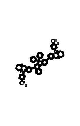 CC12CCCCC1(C)N(c1ccc(C(F)(F)F)cc1)c1ccc(-c3ccc4c(c3)C(c3ccccc3)(c3ccccc3)c3cc(-c5ccc6c(c5)CC5(C)CCCCC5(C)N6c5ccc(C(F)(F)F)cc5)c5ccccc5c3-4)cc1C2